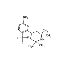 CC1(C)CC(c2nc(N)ncc2C(F)(F)F)CC(C)(C)N1